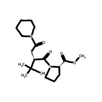 COC(=O)[C@@H]1CCCN1C(=O)[C@@H](CC(=O)N1CCCCC1)C(C)(C)C